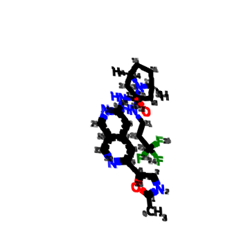 Cc1ncc(-c2cc3cc(NC(=O)N4[C@@H]5CC[C@H]4C[C@H](NCCC(F)(F)F)C5)ncc3cn2)o1